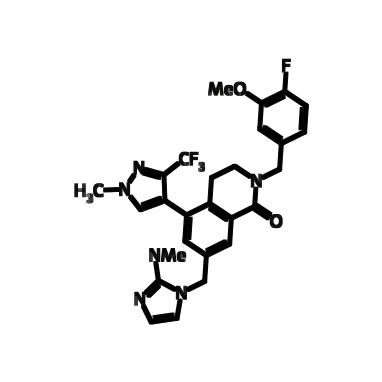 CNc1nccn1Cc1cc2c(c(-c3cn(C)nc3C(F)(F)F)c1)CCN(Cc1ccc(F)c(OC)c1)C2=O